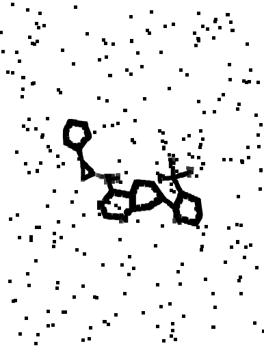 FC(F)(F)c1cccnc1-c1ccc2c(N[C@@H]3C[C@H]3c3ccccc3)ncnc2c1